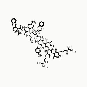 CC(=O)N[C@@H](N[C@H](C=O)Cc1ccccc1)C(=O)C[C@@H](N[C@H](C=O)CC(N)=O)C(=O)N[C@@H](N[C@@H](C)C=O)C(=O)C[C@@](C)(N[C@H](C=O)Cc1ccccc1)C(=O)N[C@@H](N[C@H](C=O)Cc1ccc(O)cc1)C(=O)C[C@@H](N[C@@H](C)C=O)C(=O)N[C@@H](N[C@H](C=O)CCCNC(=N)N)C(=O)C[C@@H](N[C@H](C=O)CCCNC(=N)N)C(N)=O